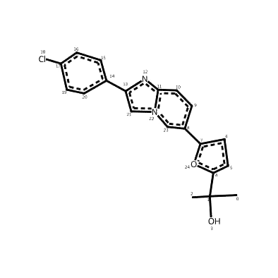 CC(C)(O)c1ccc(-c2ccc3nc(-c4ccc(Cl)cc4)cn3c2)o1